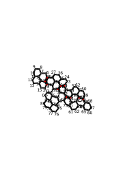 [c]1c(-c2cc3ccc4cccc5ccc(c2)c3c45)c(-c2cc3cccc4ccc5cccc2c5c43)c2c(-c3cccc4c3ccc3c5ccccc5ccc43)c(-c3ccc4c(ccc5c6ccccc6ccc45)c3)c3cccc4ccc1c2c43